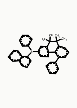 CC1(C)c2cc(N(c3ccccc3)c3cccc4ccccc34)ccc2-c2c(-c3ccccc3)cccc2C1(C)C